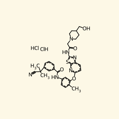 Cc1ccc(NC(=O)c2cccc(C(C)(C)C#N)c2)cc1Oc1ccc2nc(NC(=O)CN3CCC(CO)CC3)sc2n1.Cl.Cl